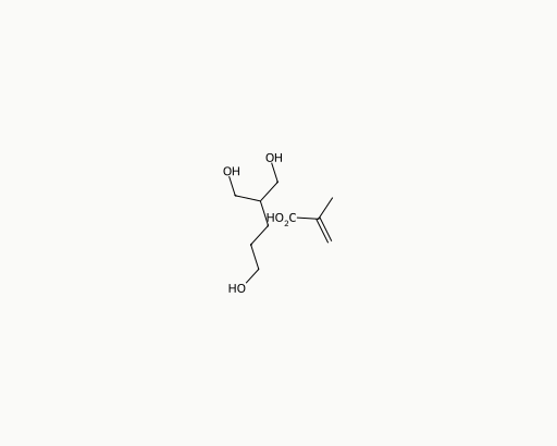 C=C(C)C(=O)O.OCCCC(CO)CO